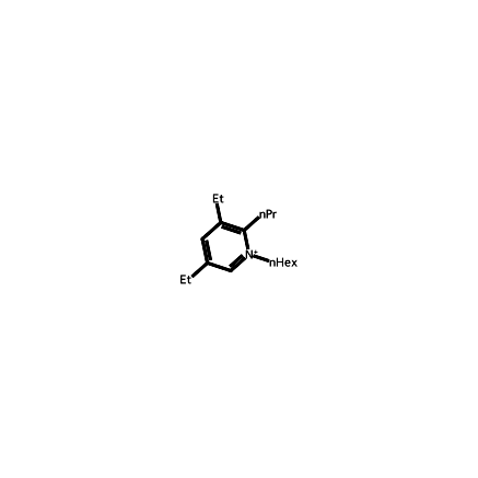 CCCCCC[n+]1cc(CC)cc(CC)c1CCC